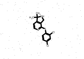 CC1(C)NCc2c1ccnc2Sc1ccc(Cl)cc1Cl